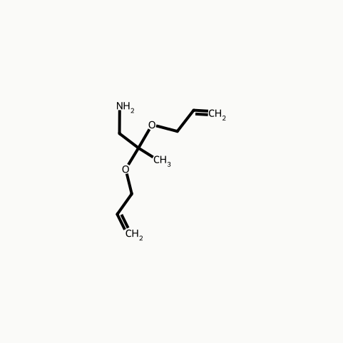 C=CCOC(C)(CN)OCC=C